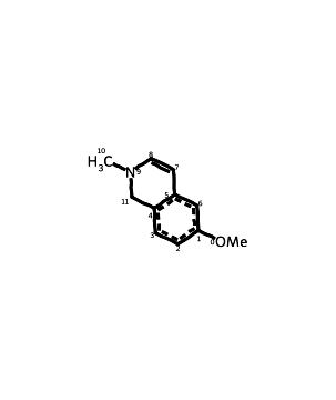 COc1ccc2c(c1)C=CN(C)C2